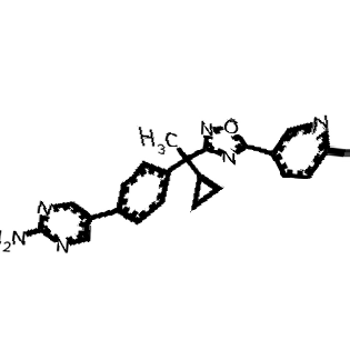 CC(c1ccc(-c2cnc(N)nc2)cc1)(c1noc(-c2ccc(Cl)nc2)n1)C1CC1